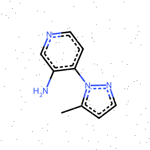 Cc1ccnn1-c1ccncc1N